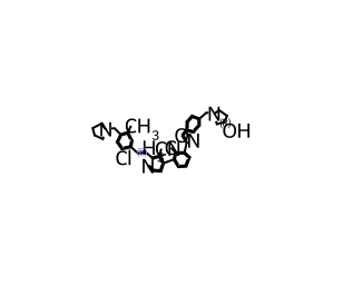 Cc1cc(/C=C/c2nccc(-c3cccc(-c4nc5cc(CN6CC[C@@H](O)C6)ccc5o4)c3C)c2C#N)c(Cl)cc1CN1CCCC1